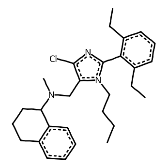 CCCCn1c(-c2c(CC)cccc2CC)nc(Cl)c1CN(C)C1CCCc2ccccc21